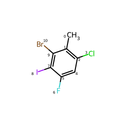 Cc1c(Cl)cc(F)c(I)c1Br